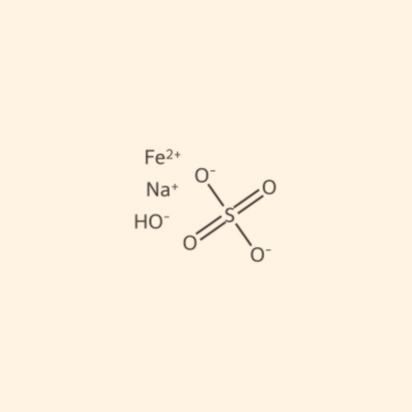 O=S(=O)([O-])[O-].[Fe+2].[Na+].[OH-]